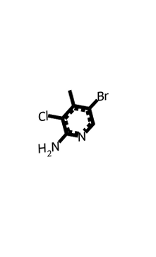 Cc1c(Br)cnc(N)c1Cl